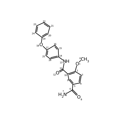 COc1ccc(C(N)=O)cc1C(=O)Nc1ccc(Oc2ccccc2)cc1